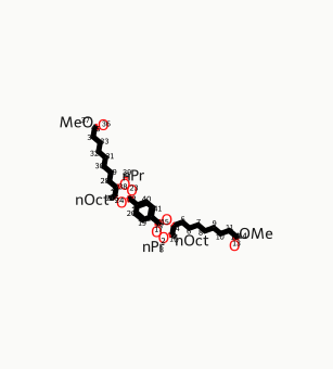 CCCCCCCCC(OCCC)C(CCCCCCCC(=O)OC)OC(=O)c1ccc(C(=O)OC(CCCCCCCC)C(CCCCCCCC(=O)OC)OCCC)cc1